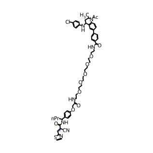 CCCC(NC(=O)/C(C#N)=C/c1nccs1)c1ccc(OCC(=O)NCCOCCOCCOCCOCCOCCNC(=O)c2ccc(-c3ccc4c(c3)C(Nc3ccc(Cl)cc3)CC(C)N4C(C)=O)cc2)cc1